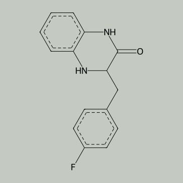 O=C1Nc2ccccc2NC1Cc1ccc(F)cc1